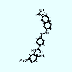 COc1cc(NC(=O)c2ccc(CNc3cnc4ccc(C(N)=O)cc4n3)cc2)c(N)cn1